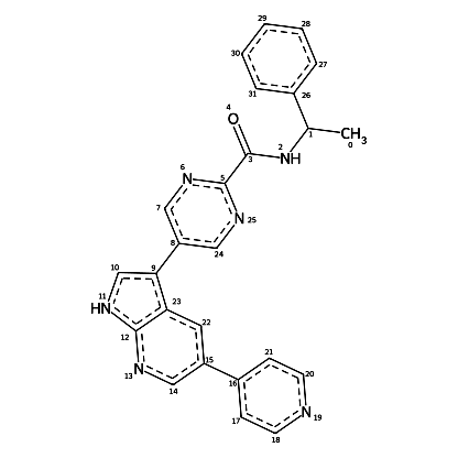 CC(NC(=O)c1ncc(-c2c[nH]c3ncc(-c4ccncc4)cc23)cn1)c1ccccc1